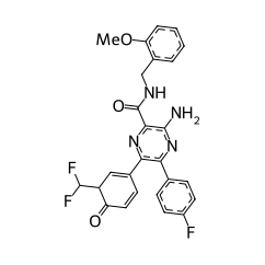 COc1ccccc1CNC(=O)c1nc(C2=CC(C(F)F)C(=O)C=C2)c(-c2ccc(F)cc2)nc1N